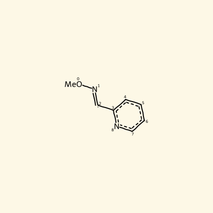 CON=[C]c1ccccn1